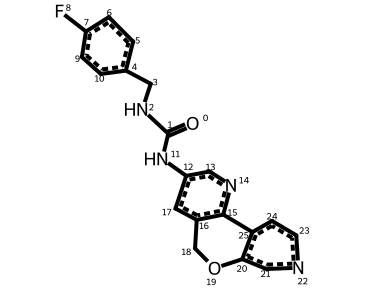 O=C(NCc1ccc(F)cc1)Nc1cnc2c(c1)COc1cnccc1-2